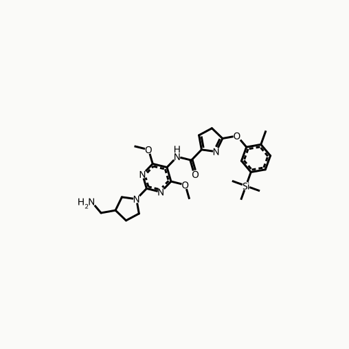 COc1nc(N2CCC(CN)C2)nc(OC)c1NC(=O)C1=CCC(Oc2cc([Si](C)(C)C)ccc2C)=N1